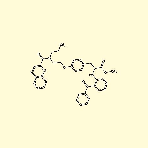 CCCN(CCOc1ccc(C[C@H](Nc2ccccc2C(=O)c2ccccc2)C(=O)OC)cc1)C(=O)c1cnc2ccccc2n1